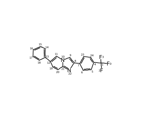 FC(F)(F)c1ccc(-c2cn3cc(-c4c[c]ccc4)ccc3n2)cc1